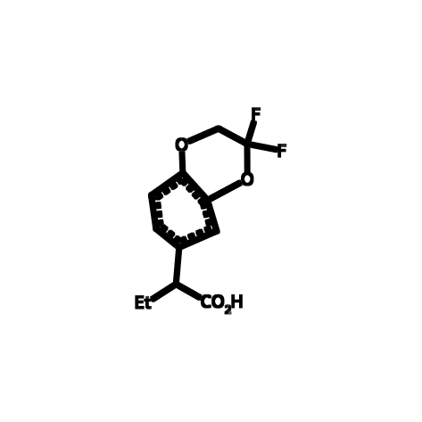 CCC(C(=O)O)c1ccc2c(c1)OC(F)(F)CO2